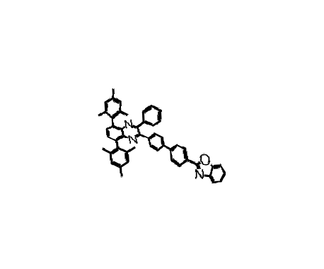 Cc1cc(C)c(-c2ccc(-c3c(C)cc(C)cc3C)c3nc(-c4ccc(-c5ccc(-c6nc7ccccc7o6)cc5)cc4)c(-c4ccccc4)nc23)c(C)c1